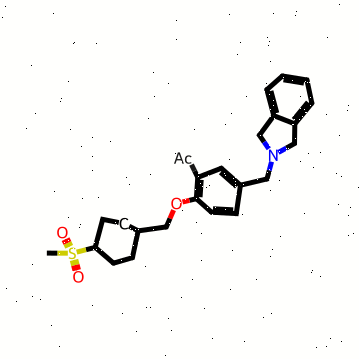 CC(=O)c1cc(CN2Cc3ccccc3C2)ccc1OCC1CCC(S(C)(=O)=O)CC1